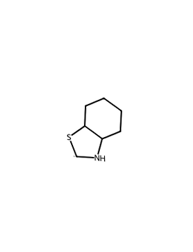 [CH]1NC2CCCCC2S1